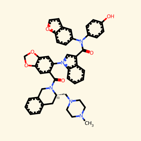 CN1CCN(C[C@@H]2Cc3ccccc3CN2C(=O)c2cc3c(cc2-n2cc(C(=O)N(c4ccc(O)cc4)c4ccc5occc5c4)c4ccccc42)OCO3)CC1